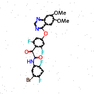 COc1cc2ncnc(Oc3cc(F)c(C(=O)C(=O)Nc4cc(Br)c(F)cc4F)c(F)c3)c2cc1OC